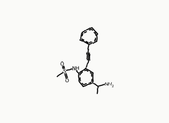 CC(N)c1ccc(NS(C)(=O)=O)c(C#Cc2ccccc2)c1